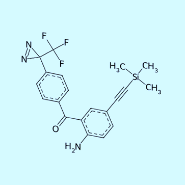 C[Si](C)(C)C#Cc1ccc(N)c(C(=O)c2ccc(C3(C(F)(F)F)N=N3)cc2)c1